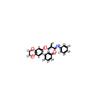 CC(=C\Oc1ccc2c(c1)OCCO2)/C(=N/c1ccccc1)Oc1ccccc1